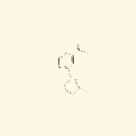 Cc1cc(C(N)=O)cc(-c2cccc(F)c2)c1